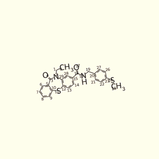 CCN1C(=O)c2ccccc2Sc2ccc(C(=O)NCc3ccc(SC)cc3)cc21